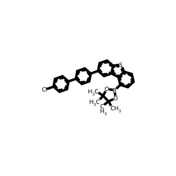 CC1(C)OB(c2cccc3sc4ccc(-c5ccc(-c6ccc(Cl)cc6)cc5)cc4c23)OC1(C)C